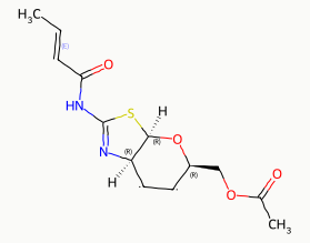 C/C=C/C(=O)NC1=N[C@@H]2[CH][CH][C@H](COC(C)=O)O[C@@H]2S1